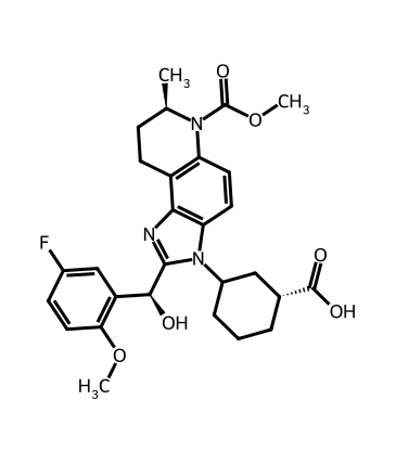 COC(=O)N1c2ccc3c(nc([C@@H](O)c4cc(F)ccc4OC)n3C3CCC[C@@H](C(=O)O)C3)c2CC[C@H]1C